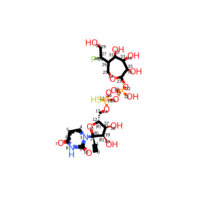 C#C[C@@]1(n2ccc(=O)[nH]c2=O)O[C@H](COP(=O)(S)OP(=O)(O)OC2OCC([C@@H](F)CO)C(O)C(O)C2O)[C@@H](O)[C@H]1O